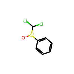 [O-][S+](c1ccccc1)C(Cl)Cl